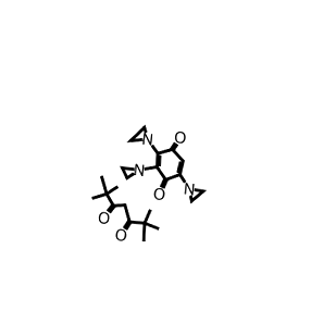 CC(C)(C)C(=O)CC(=O)C(C)(C)C.O=C1C=C(N2CC2)C(=O)C(N2CC2)=C1N1CC1